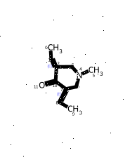 C/C=C1\CN(C)C/C(=C\C)C1=O